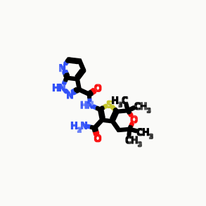 CC1(C)Cc2c(sc(NC(=O)c3n[nH]c4ncccc34)c2C(N)=O)C(C)(C)O1